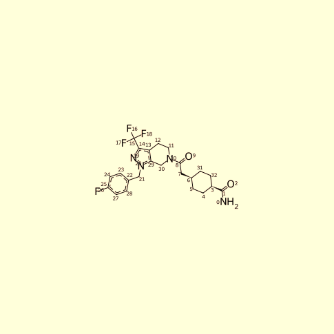 NC(=O)[C@H]1CC[C@@H](CC(=O)N2CCc3c(C(F)(F)F)nn(Cc4ccc(F)cc4)c3C2)CC1